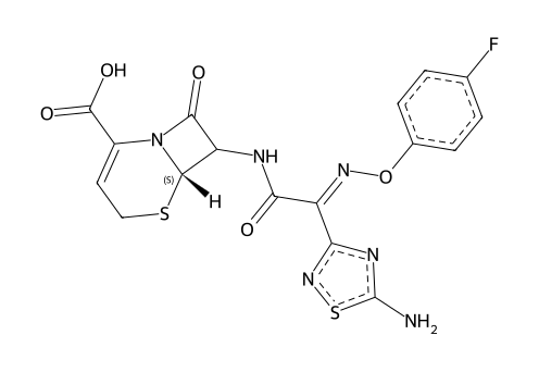 Nc1nc(C(=NOc2ccc(F)cc2)C(=O)NC2C(=O)N3C(C(=O)O)=CCS[C@@H]23)ns1